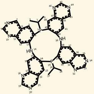 CC(C)P1c2cc3cncnc3cc2Nc2cc3ncncc3cc2P(C(C)C)c2cc3ncncc3cc2Nc2cc3cncnc3cc21